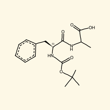 CC(NC(=O)[C@H](Cc1ccccc1)NC(=O)OC(C)(C)C)C(=O)O